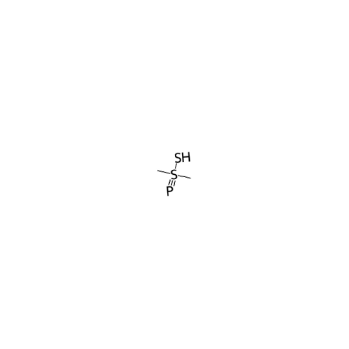 CS(C)(#P)S